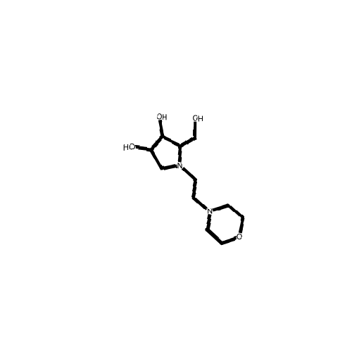 OCC1C(O)C(O)CN1CCN1CCOCC1